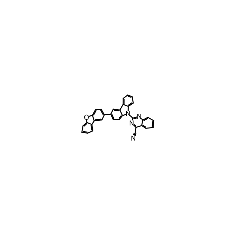 N#Cc1nc(-n2c3ccccc3c3cc(-c4ccc5oc6ccccc6c5c4)ccc32)nc2ccccc12